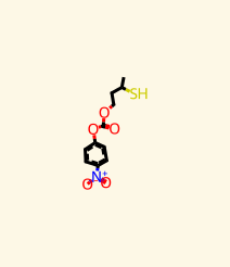 CC(S)CCOC(=O)Oc1ccc([N+](=O)[O-])cc1